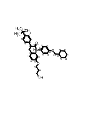 CC(C)(C)c1ccc(C(Cc2ccc(OCCCO)cc2)C(=O)Nc2ccc(OCC3CCCCC3)cc2)cc1